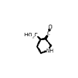 O=C=C1CNCCC1C(=O)O